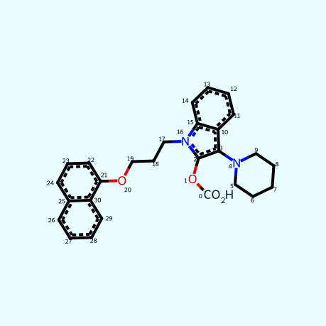 O=C(O)Oc1c(N2CCCCC2)c2ccccc2n1CCCOc1cccc2ccccc12